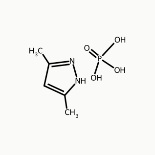 Cc1cc(C)[nH]n1.O=P(O)(O)O